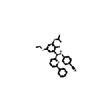 CCOc1cc(OC(C)C)c(F)c(C(Nc2ccc(C#N)cc2)c2cccc(-c3ccccc3)n2)c1